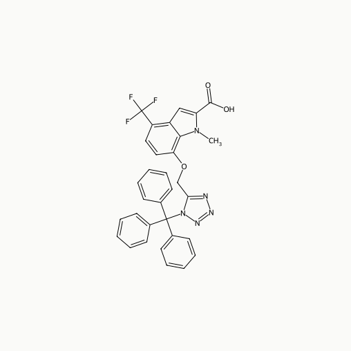 Cn1c(C(=O)O)cc2c(C(F)(F)F)ccc(OCc3nnnn3C(c3ccccc3)(c3ccccc3)c3ccccc3)c21